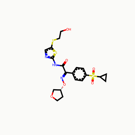 O=C(Nc1ncc(SCCO)s1)/C(=N/O[C@@H]1CCOC1)c1ccc(S(=O)(=O)C2CC2)cc1